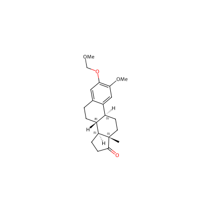 COCOc1cc2c(cc1OC)[C@H]1CC[C@]3(C)C(=O)CC[C@H]3[C@@H]1CC2